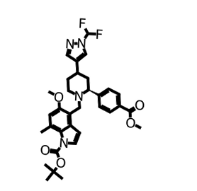 COC(=O)c1ccc([C@@H]2CC(c3cnn(C(F)F)c3)CCN2Cc2c(OC)cc(C)c3c2ccn3C(=O)OC(C)(C)C)cc1